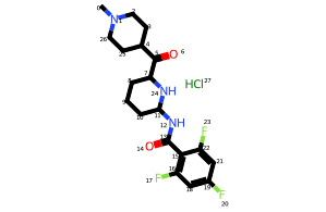 CN1CCC(C(=O)C2CCCC(NC(=O)c3c(F)cc(F)cc3F)N2)CC1.Cl